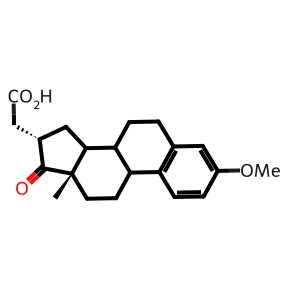 COc1ccc2c(c1)CCC1C2CC[C@]2(C)C(=O)[C@H](CC(=O)O)CC12